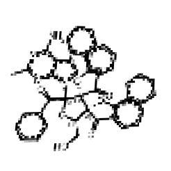 Nc1nc(F)nc2c1ncn2[C@]1(C(=O)c2ccccc2)O[C@H](CO)[C@](OC(=O)c2ccccc2)(C(=O)c2ccccc2)[C@]1(OC(=O)c1ccccc1)C(=O)c1ccccc1